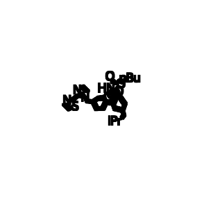 CCCCOC(=O)NS(=O)(=O)c1ccc(CC(C)C)cc1-c1ccc(Cn2ccnc2-c2nccs2)cc1